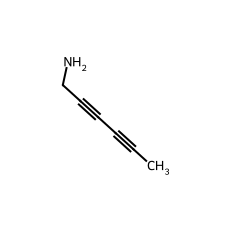 CC#CC#CCN